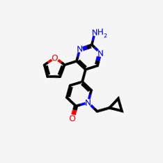 Nc1ncc(-c2ccc(=O)n(CC3CC3)c2)c(-c2ccco2)n1